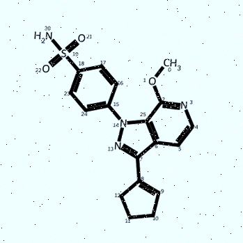 COc1nccc2c(C3=CCCC3)nn(-c3ccc(S(N)(=O)=O)cc3)c12